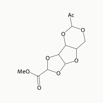 COC(=O)C1OC2OC3COC(C(C)=O)OC3C2O1